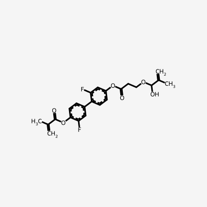 C=C(C)C(=O)Oc1ccc(-c2ccc(OC(=O)CCOC(O)C(=C)C)cc2F)cc1F